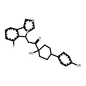 N#Cc1ccc(C2CCC(O)(C(=O)CC3c4c(F)cccc4-c4cncn43)CC2)cc1